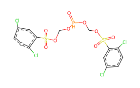 O=[PH](OCOS(=O)(=O)c1cc(Cl)ccc1Cl)OCOS(=O)(=O)c1cc(Cl)ccc1Cl